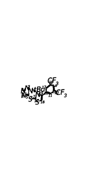 CC(C)(C)n1nnnc1Sc1nc(-c2cc(C(F)(F)F)cc(C(F)(F)F)c2)cs1